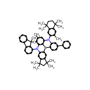 Cc1cc2c3c(c1)N(c1cccc4c1C(C)(C)c1ccccc1-4)c1cc4c(cc1B3c1ccc(-c3ccccc3)cc1N2c1cc2c(cc1C)C(C)(C)CCC2(C)C)C(C)(C)CC4(C)C